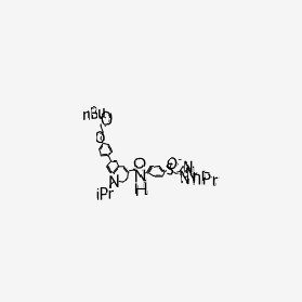 CCCCOCCOc1ccc(-c2ccc3c(c2)C=C(C(=O)Nc2ccc([S+]([O-])Cc4cnn(CCC)n4)cc2)CCN3CC(C)C)cc1